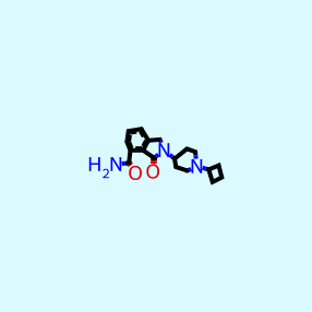 NC(=O)c1cccc2c1C(=O)N(C1CCN(C3CCC3)CC1)C2